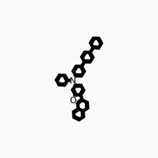 c1ccc(-c2ccc(-c3ccc(N(c4ccccc4)c4ccc5c(c4)oc4c6ccccc6ccc54)cc3)cc2)cc1